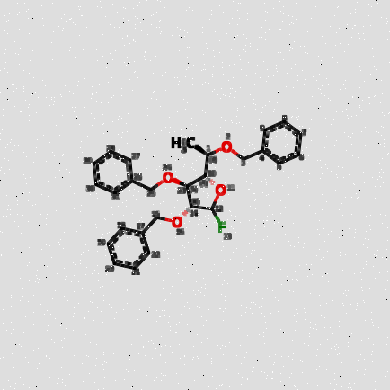 C[C@@H](OCc1ccccc1)[C@@H]1OC(F)[C@H](OCc2ccccc2)[C@H]1OCc1ccccc1